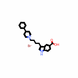 O=C(O)c1ccc2[nH]cc(CCCC[n+]3ccc(-c4ccccc4)cc3)c2c1.[Br-]